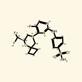 NS(=O)(=O)c1ccc(Nc2ncc(F)c(N3C[C@H](C(F)F)OC4(CCC4)C3)n2)cc1